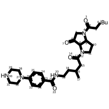 CCC(C)CC(=O)N1CC(=O)C2C1CCN2C(=O)CC(C)CCNC(=O)c1ccc(N2CCNCC2)cc1